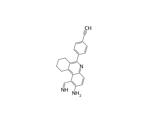 C#Cc1ccc(-c2nc3ccc(N)c(C=N)c3c3c2CCCC3)cc1